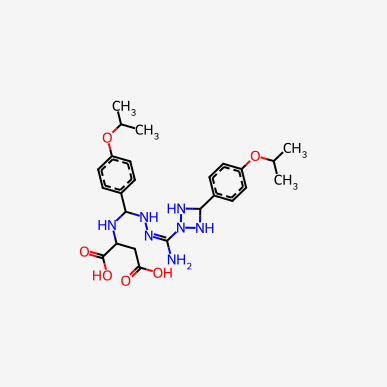 CC(C)Oc1ccc(C(NN=C(N)N2NC(c3ccc(OC(C)C)cc3)N2)NC(CC(=O)O)C(=O)O)cc1